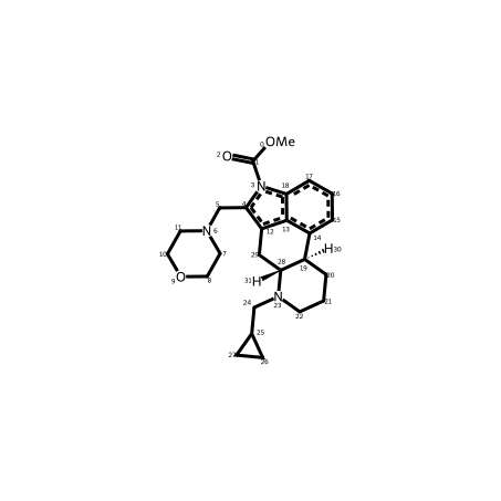 COC(=O)n1c(CN2CCOCC2)c2c3c(cccc31)[C@H]1CCCN(CC3CC3)[C@@H]1C2